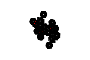 Cc1nc(-c2ccccc2)nc(-c2cc(-n3c4ccccc4c4ccccc43)c(-c3c(-n4c5ccccc5c5ccccc54)cc(-c4nc(-c5ccccc5)nc(-c5ccccc5)n4)c4c3C(C)(C)c3cccc5c6ccccc6n-4c35)c3c2-n2c4ccccc4c4cccc(c42)C3(C)C)n1